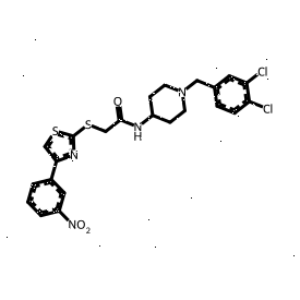 O=C(CSc1nc(-c2cccc([N+](=O)[O-])c2)cs1)NC1CCN(Cc2ccc(Cl)c(Cl)c2)CC1